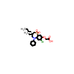 CCCC[C@@]1(CC)CN(c2ccccc2)c2cc(Br)c(OCC(=O)O)cc2S(=O)(=O)C1